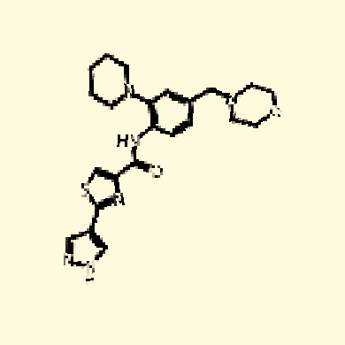 O=C(Nc1ccc(CN2CCOCC2)cc1N1CCCCC1)c1csc(-c2cn[nH]c2)n1